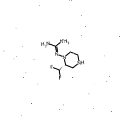 NC(N)=NN1CCNC[C@@H]1C(F)F